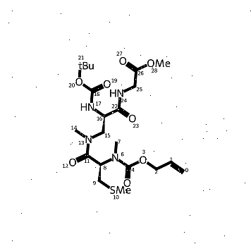 C=CCOC(=O)N(C)[C@@H](CSC)C(=O)N(C)C[C@@H](NC(=O)OC(C)(C)C)C(=O)NCC(=O)OC